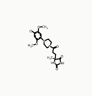 COc1cc(N2CCN(C(=O)CC[C@@]3(C)NC(=O)NC3=O)CC2)c(OC)cc1Cl